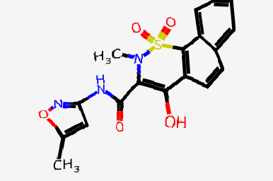 Cc1cc(NC(=O)C2=C(O)c3ccc4ccccc4c3S(=O)(=O)N2C)no1